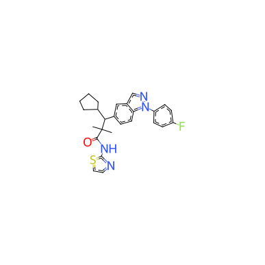 CC(C)(C(=O)Nc1nccs1)C(c1ccc2c(cnn2-c2ccc(F)cc2)c1)C1CCCC1